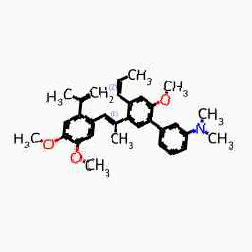 C=C(C)c1cc(OC)c(OC)cc1/C=C(\C)c1cc(-c2cccc(N(C)C)c2)c(OC)cc1/C=C\C